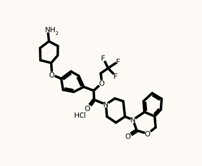 Cl.NC1CCC(Oc2ccc(C(OCC(F)(F)F)C(=O)N3CCC(N4C(=O)OCc5ccccc54)CC3)cc2)CC1